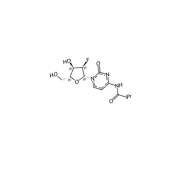 CC(C)C(=O)Nc1ccn([C@@H]2O[C@H](CO)[C@@H](O)[C@H]2F)c(=O)n1